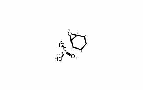 C1CCC2OC2C1.O=[PH](O)O